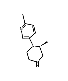 Cc1ccc(N2CCNC[C@@H]2C)cn1